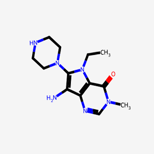 CCn1c(N2CCNCC2)c(N)c2ncn(C)c(=O)c21